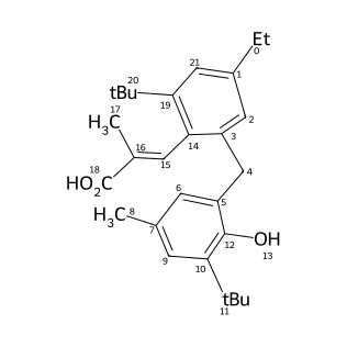 CCc1cc(Cc2cc(C)cc(C(C)(C)C)c2O)c(C=C(C)C(=O)O)c(C(C)(C)C)c1